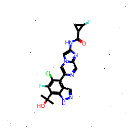 CC(C)(O)c1c(F)c(Cl)c(-c2cn3cc(NC(=O)C4CC4F)nc3cn2)c2cn[nH]c12